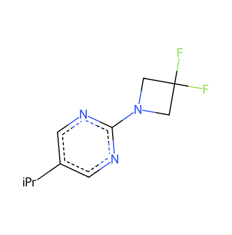 CC(C)c1cnc(N2CC(F)(F)C2)nc1